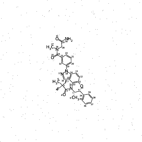 C[C@H](NC(=O)C(C)(F)F)[C@H](Oc1ccc2c(cnn2-c2cccc(C(=O)N(C)CC(N)=O)c2)c1)c1ccccc1